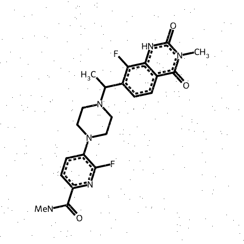 CNC(=O)c1ccc(N2CCN(C(C)c3ccc4c(=O)n(C)c(=O)[nH]c4c3F)CC2)c(F)n1